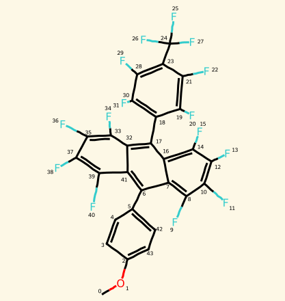 COc1ccc(-c2c3c(F)c(F)c(F)c(F)c3c(-c3c(F)c(F)c(C(F)(F)F)c(F)c3F)c3c(F)c(F)c(F)c(F)c23)cc1